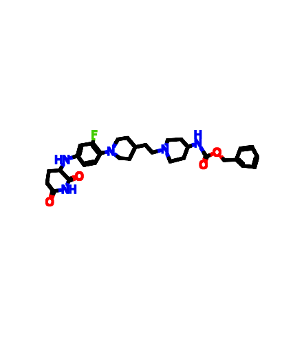 O=C1CCC(Nc2ccc(N3CCC(CCN4CCC(NC(=O)OCc5ccccc5)CC4)CC3)c(F)c2)C(=O)N1